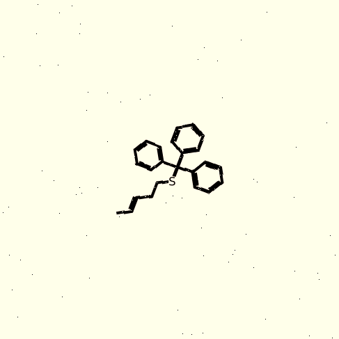 CC=CCCSC(c1ccccc1)(c1ccccc1)c1ccccc1